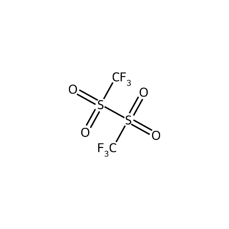 O=S(=O)(C(F)(F)F)S(=O)(=O)C(F)(F)F